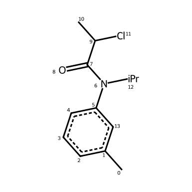 Cc1cccc(N(C(=O)C(C)Cl)C(C)C)c1